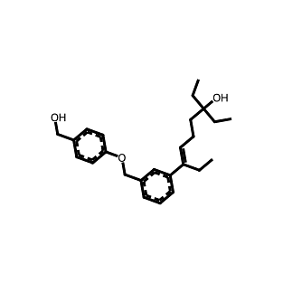 CCC(=CCCC(O)(CC)CC)c1cccc(COc2ccc(CO)cc2)c1